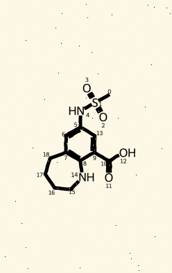 CS(=O)(=O)Nc1cc2c(c(C(=O)O)c1)NCCCC2